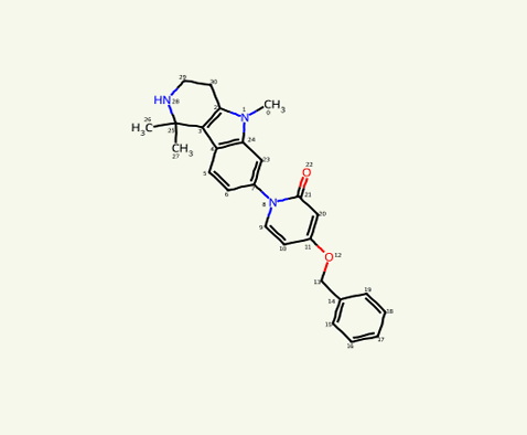 Cn1c2c(c3ccc(-n4ccc(OCc5ccccc5)cc4=O)cc31)C(C)(C)NCC2